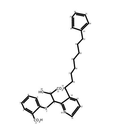 O=C(O)c1ccccc1SC(c1ncccc1CCCCCCCCc1ccccc1)C(O)C(=O)O